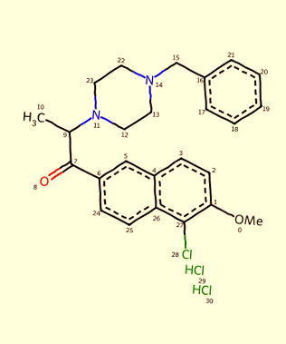 COc1ccc2cc(C(=O)C(C)N3CCN(Cc4ccccc4)CC3)ccc2c1Cl.Cl.Cl